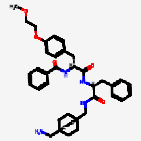 COCCOc1ccc(C[C@@H](NC(=O)c2ccccc2)C(=O)N[C@@H](Cc2ccccc2)C(=O)NCC23CCC(CN)(CC2)CC3)cc1